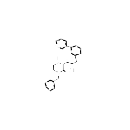 CC(=O)N[C@@H](Cc1cccc(-c2cccnc2)c1)[C@H](O)[C@@H]1NCCN(Cc2ccccc2)C1=O